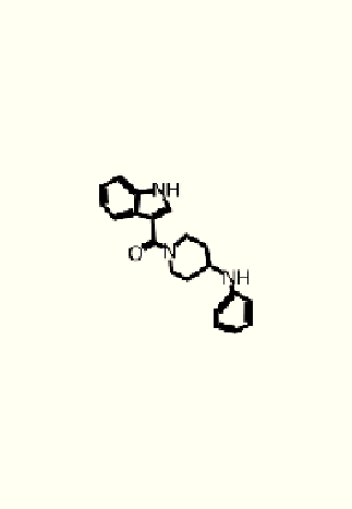 O=C(c1c[nH]c2ccccc12)N1CCC(Nc2ccccc2)CC1